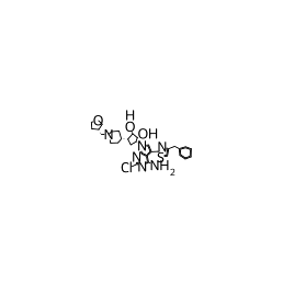 Nc1nc(Cl)nc2c1c(-c1nc(Cc3ccccc3)cs1)cn2[C@@H]1C[C@H](C2CCN(C[C@@H]3CCOC3)CC2)[C@@H](O)[C@H]1O